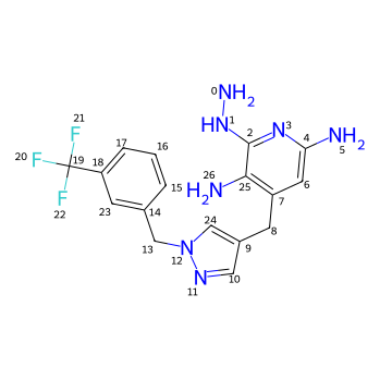 NNc1nc(N)cc(Cc2cnn(Cc3cccc(C(F)(F)F)c3)c2)c1N